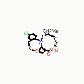 CC[C@@H]1CCN2Cc3ccc(Cl)cc3CCCCOc3ccc(cc32)C(=O)/N=[SH](=O)\C[C@@H](C)C/C=C/[C@@H]1OC